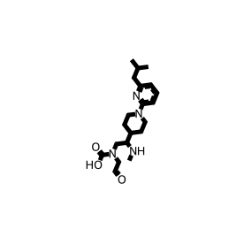 CNC(CN(CC=O)C(=O)O)C1CCN(c2cccc(CC(C)C)n2)CC1